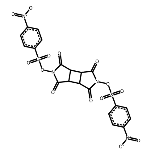 O=C1C2C(C(=O)N1OS(=O)(=O)c1ccc([N+](=O)[O-])cc1)C1C(=O)N(OS(=O)(=O)c3ccc([N+](=O)[O-])cc3)C(=O)C21